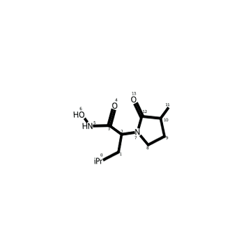 CC(C)CC(C(=O)NO)N1CCC(C)C1=O